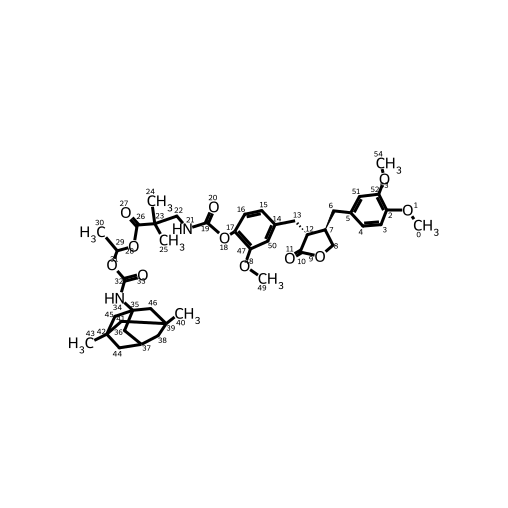 COc1ccc(C[C@H]2COC(=O)[C@@H]2Cc2ccc(OC(=O)NCC(C)(C)C(=O)OC(C)OC(=O)NC34CC5CC(C)(CC(C)(C5)C3)C4)c(OC)c2)cc1OC